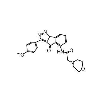 COc1ccc(C2=C3C(=O)c4c(NC(=O)CN5CCOCC5)cccc4C3N=N2)cc1